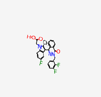 Cc1c(-c2nn(Cc3cccc(F)c3F)c(=O)c3ccccc23)c2cc(F)ccc2n1CC(=O)O